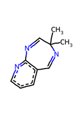 CC1(C)C=Nc2ncccc2C=N1